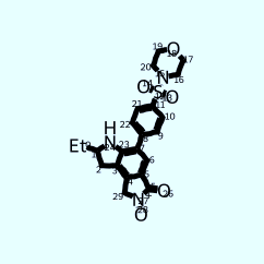 CCC1Cc2c3c(cc(-c4ccc(S(=O)(=O)N5CCOCC5)cc4)c2N1)C(=O)[N+](=O)C3